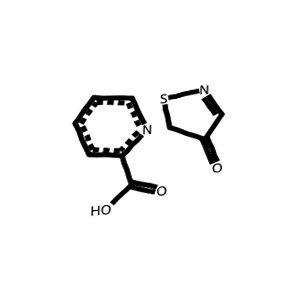 O=C(O)c1ccccn1.O=C1C=NSC1